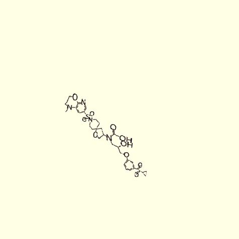 CN1CCOc2ncc(S(=O)(=O)N3CCC4(CC3)CC(N(CC(O)COc3cccc(S(=O)(=O)C5CC5)c3)C(=O)O)CO4)cc21